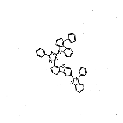 c1ccc(-c2nc(-c3cccc4c3sc3ccc(-c5nc6ccccc6n5-c5ccccc5)cc34)nc(-n3c4ccccc4c4c(-c5ccccc5)cccc43)n2)cc1